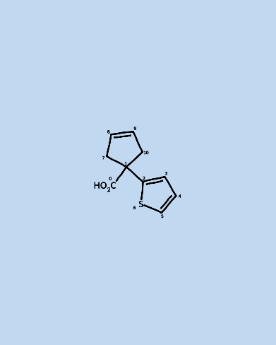 O=C(O)C1(c2cccs2)CC=CC1